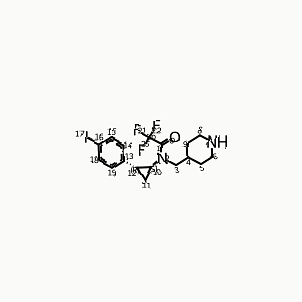 O=C(N(CC1CCNCC1)[C@H]1C[C@@H]1c1ccc(I)cc1)C(F)(F)F